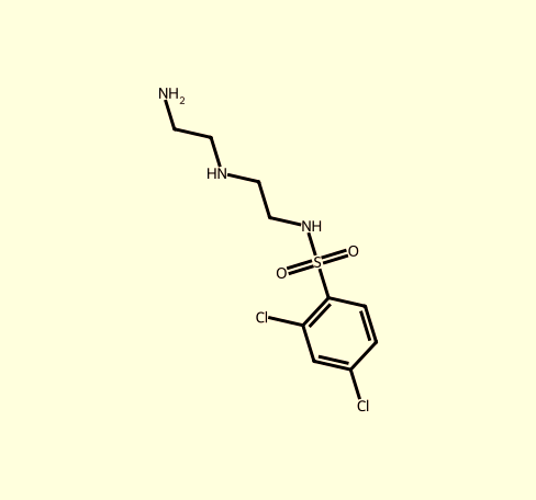 NCCNCCNS(=O)(=O)c1ccc(Cl)cc1Cl